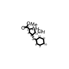 COC(=O)C1C[C@@H](SC2CCCCC2)CN1.Cl